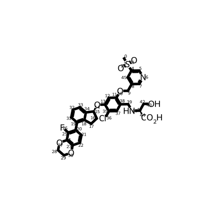 CS(=O)(=O)c1cncc(COc2cc(O[C@H]3CCc4c(-c5ccc6c(c5F)OCCO6)cccc43)c(Cl)cc2CN[C@@H](CO)C(=O)O)c1